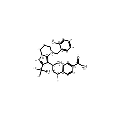 C[C@H](NC(O)c1c(C(F)(F)F)nn2c1N(Cc1ccccc1Cl)CCC2)c1ccc(C(=O)O)cc1